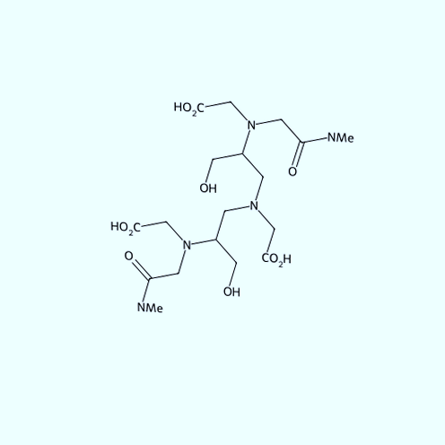 CNC(=O)CN(CC(=O)O)C(CO)CN(CC(=O)O)CC(CO)N(CC(=O)O)CC(=O)NC